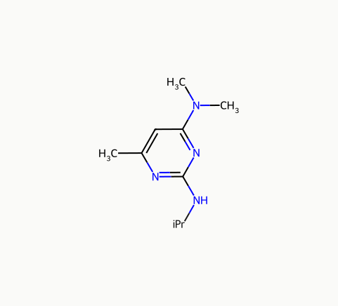 Cc1cc(N(C)C)nc(NC(C)C)n1